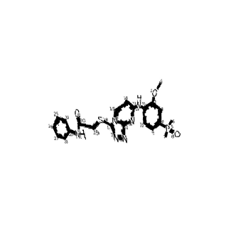 COc1cc(P(C)(C)=O)ccc1Nc1ccn2c(SCC(=O)Nc3ccccc3)nnc2n1